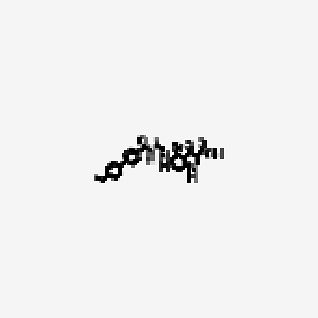 CCc1ccc(-c2ccc(C(=O)N[C@@H](C)CNc3ccc4[nH]cc(C(=O)O)c(=O)c4c3Br)cc2)cc1